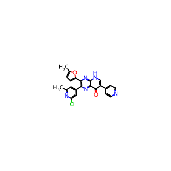 Cc1cc(-c2nc3c(=O)c(-c4ccncc4)c[nH]c3nc2-c2ccc(C)o2)cc(Cl)n1